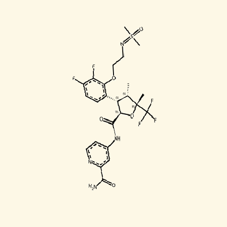 C[C@H]1[C@@H](c2ccc(F)c(F)c2OCCN=S(C)(C)=O)[C@H](C(=O)Nc2ccnc(C(N)=O)c2)O[C@@]1(C)C(F)(F)F